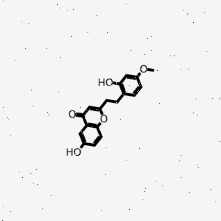 COc1ccc(CCc2cc(=O)c3cc(O)ccc3o2)c(O)c1